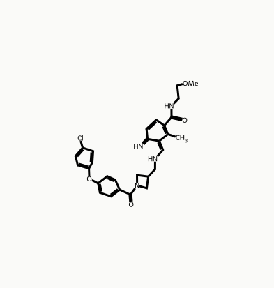 COCCNC(=O)C1=C(C)/C(=C/NCC2CN(C(=O)c3ccc(Oc4ccc(Cl)cc4)cc3)C2)C(=N)C=C1